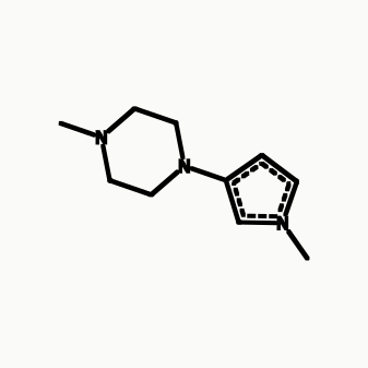 CN1CCN(c2ccn(C)c2)CC1